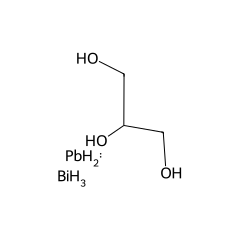 OCC(O)CO.[BiH3].[PbH2]